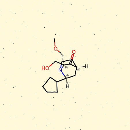 COC[C@]1(CO)C(=O)[C@H]2CCN1[C@H](C1CCCC1)C2